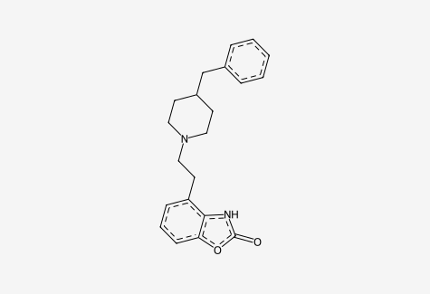 O=c1[nH]c2c(CCN3CCC(Cc4ccccc4)CC3)cccc2o1